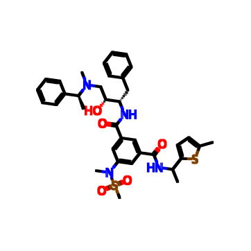 Cc1ccc(C(C)NC(=O)c2cc(C(=O)N[C@@H](Cc3ccccc3)[C@H](O)CN(C)[C@@H](C)c3ccccc3)cc(N(C)S(C)(=O)=O)c2)s1